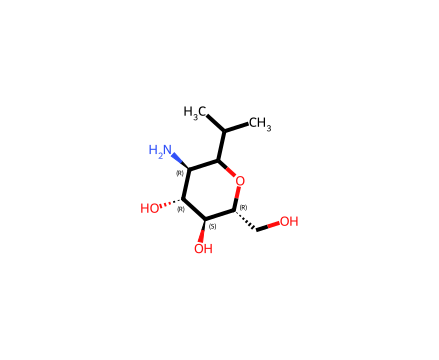 CC(C)C1O[C@H](CO)[C@@H](O)[C@H](O)[C@H]1N